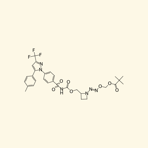 Cc1ccc(-c2cc(C(F)(F)F)nn2-c2ccc(S(=O)(=O)NC(=O)OCC3CCN3N=NOCOC(=O)C(C)(C)C)cc2)cc1